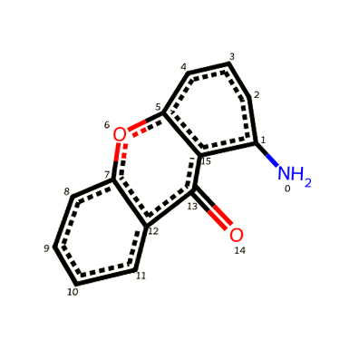 Nc1cccc2oc3ccccc3c(=O)c12